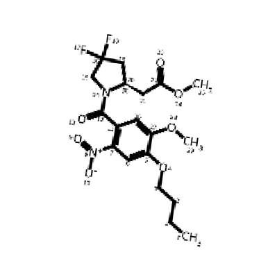 CCCCOc1cc([N+](=O)[O-])c(C(=O)N2CC(F)(F)C[C@H]2CC(=O)OC)cc1OC